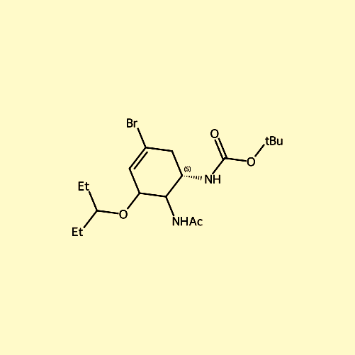 CCC(CC)OC1C=C(Br)C[C@H](NC(=O)OC(C)(C)C)C1NC(C)=O